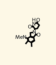 CNc1c(C)c(C)cc2c1CN(C1CCC(=O)NC1=O)C2=O